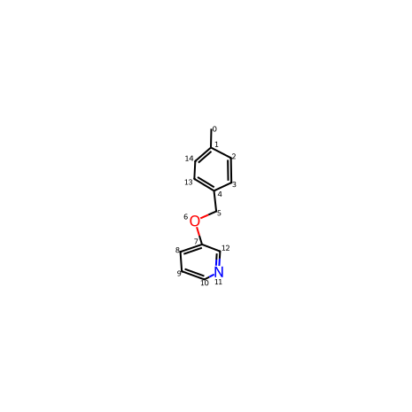 Cc1ccc(COc2cccnc2)cc1